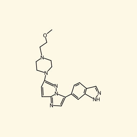 COCCN1CCN(c2ccc3ncc(-c4ccc5cn[nH]c5c4)n3n2)CC1